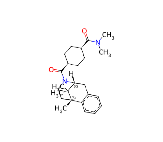 CN(C)C(=O)[C@H]1CC[C@@H](C(=O)N2CC[C@@]3(C)c4ccccc4C[C@@H]2C3(C)C)CC1